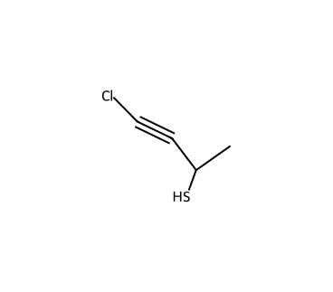 CC(S)C#CCl